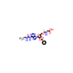 CCNC(=O)Nc1ncnc2c1ncn2C1OC(COC(=S)NCC(=O)O)C2O[C@H](c3ccccc3)OC21